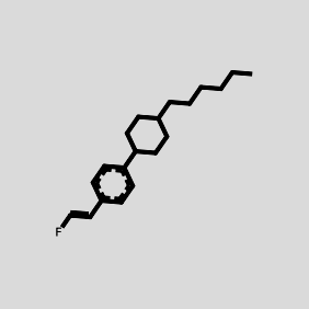 CCCCCCC1CCC(c2ccc(/C=C/F)cc2)CC1